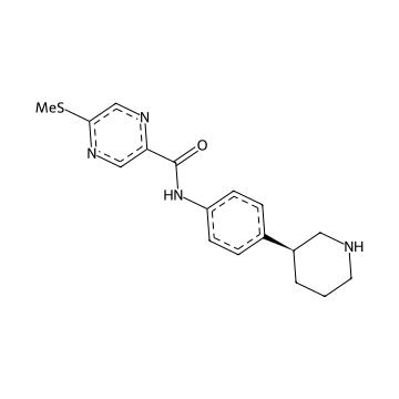 CSc1cnc(C(=O)Nc2ccc([C@@H]3CCCNC3)cc2)cn1